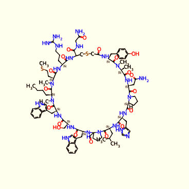 CCCC[C@H]1C(=O)N(C)[C@@H](CCSC)C(=O)N[C@@H](CCCNC(=N)N)C(=O)NC(C(=O)NCC(N)=O)CSCC(=O)N[C@@H](Cc2ccc(O)cc2)C(=O)N(C)[C@@H](C)C(=O)N[C@@H](CC(N)=O)C(=O)N2CCC[C@H]2C(=O)N[C@@H](Cc2cnc[nH]2)C(=O)N[C@@H](CC(C)C)C(=O)N2CCCC2(C=O)N[C@@H](Cc2c[nH]c3ccccc23)C(=O)N[C@@H](CO)C(=O)N[C@@H](Cc2c[nH]c3ccccc23)C(=O)N1C